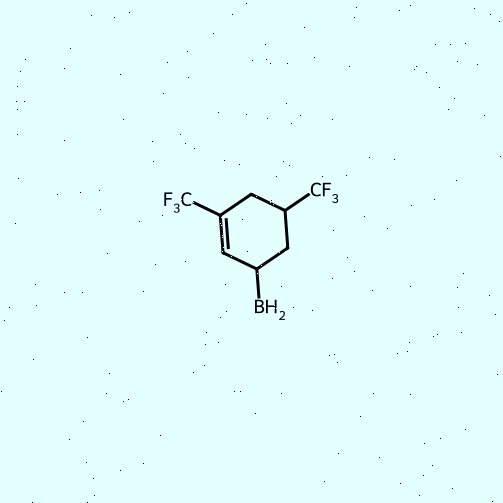 BC1C=C(C(F)(F)F)CC(C(F)(F)F)C1